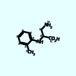 Cc1ccccc1NC(CN)C(=O)O